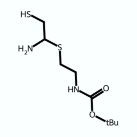 CC(C)(C)OC(=O)NCCSC(N)CS